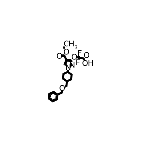 CCOC(=O)c1cn(C2CCC(COCc3ccccc3)CC2)nc1OC(F)(F)C(=O)O